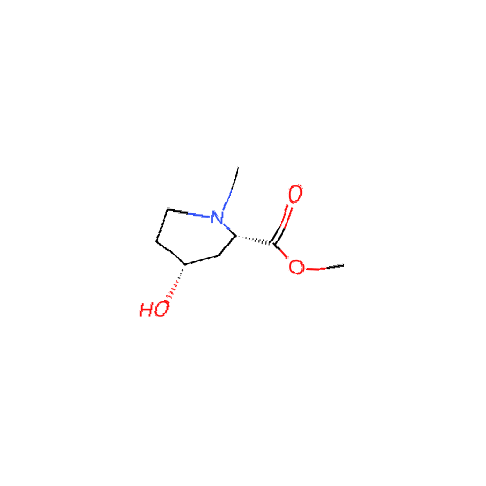 COC(=O)[C@@H]1C[C@H](O)CCN1C